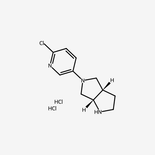 Cl.Cl.Clc1ccc(N2C[C@@H]3CCN[C@@H]3C2)cn1